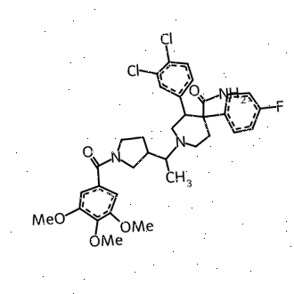 COc1cc(C(=O)N2CCC(C(C)N3CCC(C(N)=O)(c4ccc(F)cc4)C(c4ccc(Cl)c(Cl)c4)C3)C2)cc(OC)c1OC